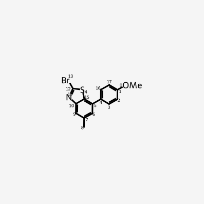 COc1ccc(-c2cc(C)cc3nc(Br)sc23)cc1